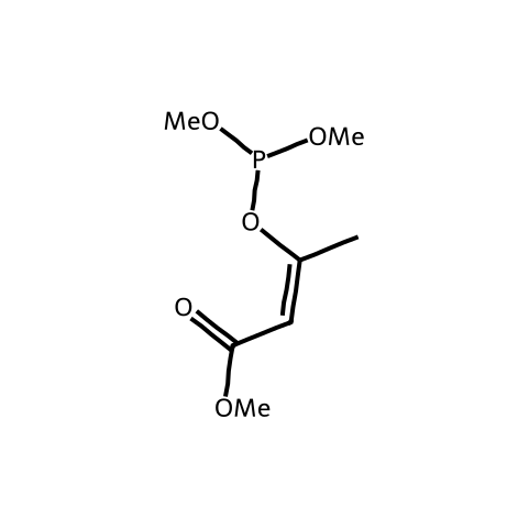 COC(=O)C=C(C)OP(OC)OC